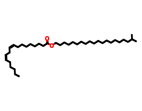 CCCCC/C=C\C/C=C\CCCCCCCC(=O)OCCCCCCCCCCCCCCCCCCC(C)C